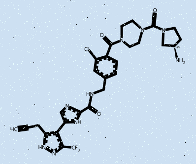 C#CCc1[nH]nc(C(F)(F)F)c1-c1cnc(C(=O)NCc2ccc(C(=O)N3CCN(C(=O)N4CC[C@@H](N)C4)CC3)c(Cl)c2)[nH]1